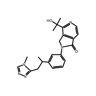 CC(Cc1nncn1C)c1cccc(N2Cc3c(ccnc3C(C)(C)O)C2=O)c1